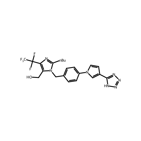 CCCCc1nc(C(F)(F)C(F)(F)F)c(CO)n1Cc1ccc(-n2ccc(-c3nnn[nH]3)c2)cc1